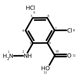 Cl.NNc1cccc(Cl)c1C(=O)O